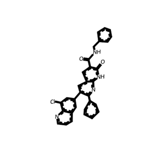 O=C(NCc1ccccc1)c1cc2cc(-c3cc(Cl)c4ncccc4c3)c(-c3ccccc3)nc2[nH]c1=O